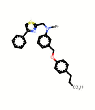 CCCN(Cc1nc(-c2ccccc2)cs1)c1cccc(COc2ccc(CCC(=O)O)cc2)c1